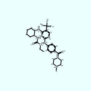 CCOC(=O)N[C@H]1CCCC[C@H]1Nc1nc(Nc2ccc(C(=O)N3CCN(C)CC3)cc2)ncc1C(F)(F)F